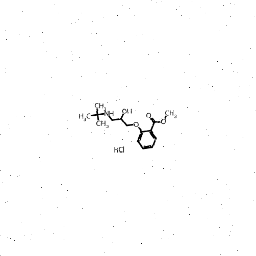 COC(=O)c1ccccc1OCC(O)CNC(C)(C)C.Cl